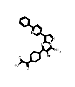 Nc1c(Br)c(C2CCC(C(=O)C(=O)O)CC2)nc2c(-c3ccc(-c4ccccc4)nc3)cnn12